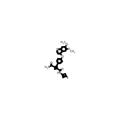 COc1cc2nccc(Oc3ccc(C4C5(C(N)=O)CC4(C(=O)NC46CC(F)(C4)C6)C5)cc3)c2cc1OC